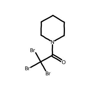 O=C(N1CCCCC1)C(Br)(Br)Br